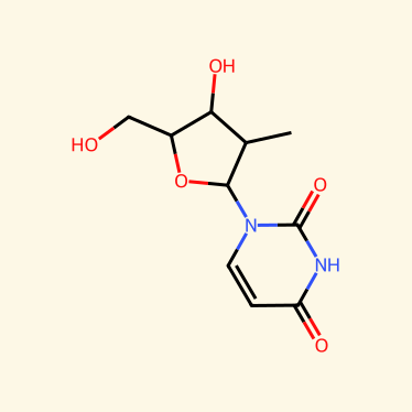 CC1C(O)C(CO)OC1n1ccc(=O)[nH]c1=O